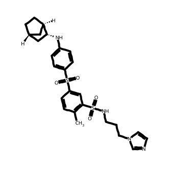 Cc1ccc(S(=O)(=O)c2ccc(N[C@@H]3C[C@@H]4CC[C@@H]3C4)cc2)cc1S(=O)(=O)NCCCn1ccnc1